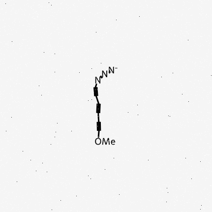 COC#CC#CC#CN=[N+]=[N-]